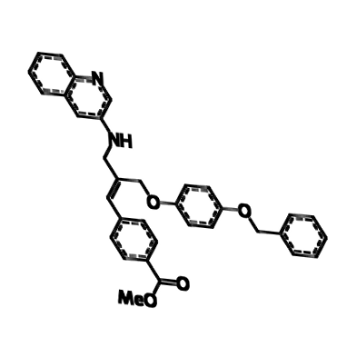 COC(=O)c1ccc(C=C(CNc2cnc3ccccc3c2)COc2ccc(OCc3ccccc3)cc2)cc1